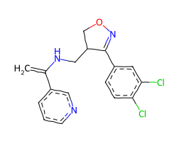 C=C(NCC1CON=C1c1ccc(Cl)c(Cl)c1)c1cccnc1